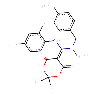 CCCCCCCN(Cc1ccc(CCCCC)cc1)C(Nc1ccc(OC)cc1OC)=C1C(=O)OC(C)(C)OC1=O